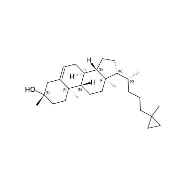 C[C@H](CCCC1(C)CC1)[C@H]1CC[C@H]2[C@@H]3CC=C4C[C@@](C)(O)CC[C@]4(C)[C@H]3CC[C@]12C